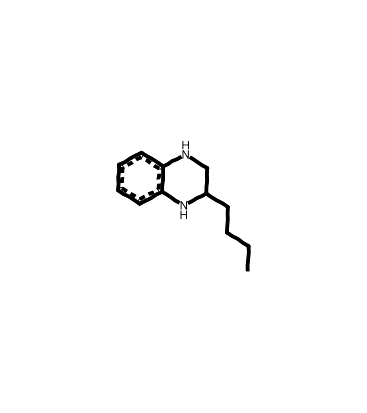 CCCCC1CNc2ccccc2N1